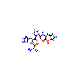 C[C@H](N)C(=O)N[C@@H](Cc1c[nH]cn1)C(=O)N1CCC[C@H]1C(=O)N[C@@H](Cc1c[nH]cn1)C(=O)O